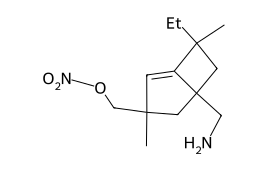 CCC1(C)CC2(CN)CC(C)(CO[N+](=O)[O-])C=C12